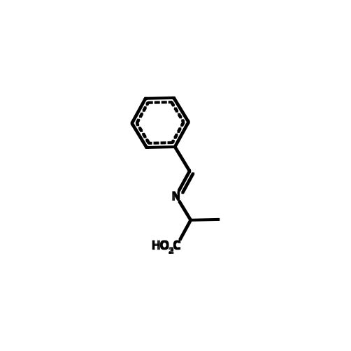 CC(N=Cc1ccccc1)C(=O)O